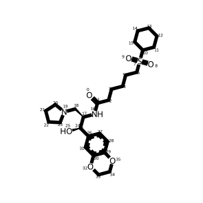 O=C(CCCCCS(=O)(=O)C1CCCCC1)N[C@H](CN1CCCC1)[C@H](O)c1ccc2c(c1)OCCO2